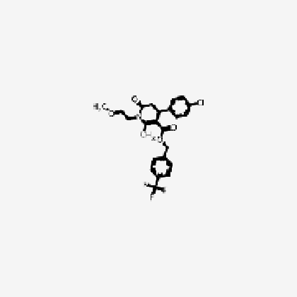 COCCN1C(=O)CC(c2ccc(Cl)cc2)C(C(=O)OCc2ccc(C(F)(F)F)cc2)=C1C